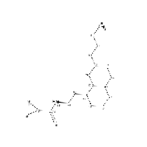 CCCCC1CCC2CCCC(CCNC(=O)C3CC3)C2C1